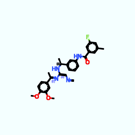 C=N/C=C(\N=C(/C)c1ccc(OC)c(OC)c1)N[C@@H](C)c1cccc(NC(=O)c2cc(C)cc(F)c2)c1